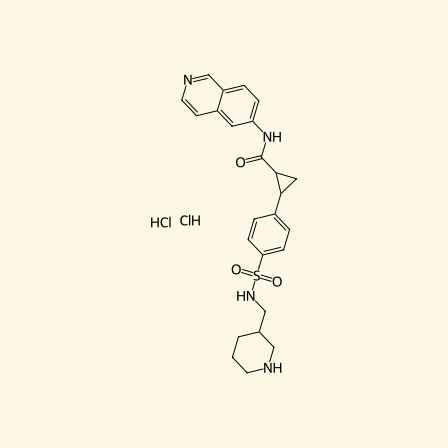 Cl.Cl.O=C(Nc1ccc2cnccc2c1)C1CC1c1ccc(S(=O)(=O)NCC2CCCNC2)cc1